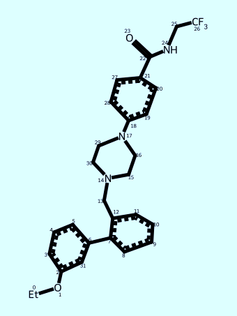 CCOc1cccc(-c2ccccc2CN2CCN(c3ccc(C(=O)NCC(F)(F)F)cc3)CC2)c1